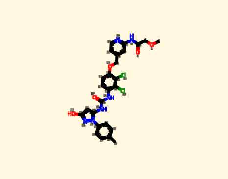 COCC(=O)Nc1cc(COc2ccc(NC(=O)Nc3cc(O)nn3-c3ccc(C)cc3)c(Cl)c2Cl)ccn1